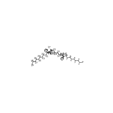 CCCCCCCCCC(=O)NCCCC[C@@H](C)NC(=O)CCCCCCCCC